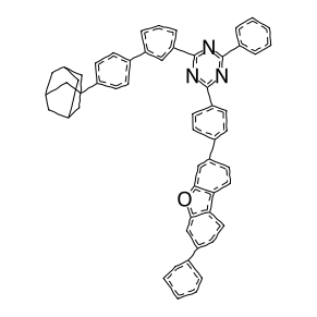 c1ccc(-c2ccc3c(c2)oc2cc(-c4ccc(-c5nc(-c6ccccc6)nc(-c6cccc(-c7ccc(C89CC%10CC(CC(C%10)C8)C9)cc7)c6)n5)cc4)ccc23)cc1